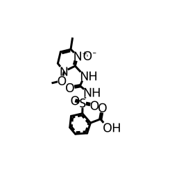 CON1CC=C(C)[N+]([O-])=C1NC(=O)NS(=O)(=O)c1ccccc1C(=O)O